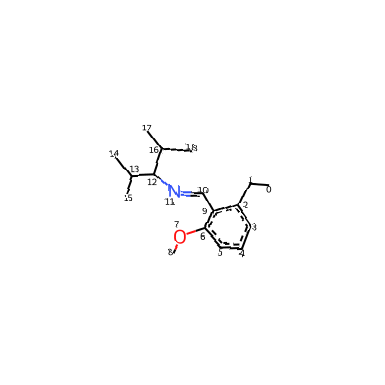 CCc1cccc(OC)c1C=NC(C(C)C)C(C)C